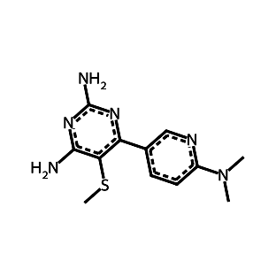 CSc1c(N)nc(N)nc1-c1ccc(N(C)C)nc1